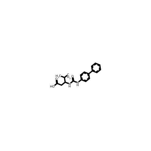 CC(C)C(CC(=O)O)NC(=O)Nc1ccc(-c2ccccc2)cc1